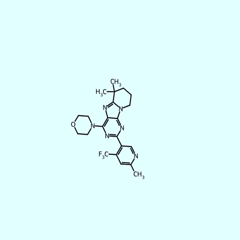 Cc1cc(C(F)(F)F)c(-c2nc(N3CCOCC3)c3nc4n(c3n2)CCCC4(C)C)cn1